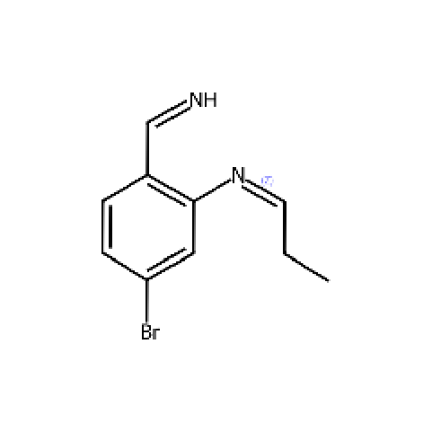 CC/C=N\c1cc(Br)ccc1C=N